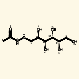 CC(=O)NOC[C@@H](O)[C@@H](O)[C@H](O)[C@H](O)CO